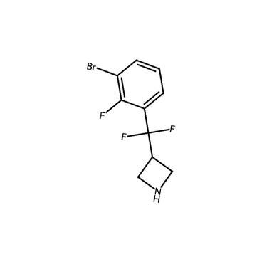 Fc1c(Br)cccc1C(F)(F)C1CNC1